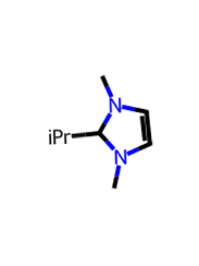 CC(C)C1N(C)C=CN1C